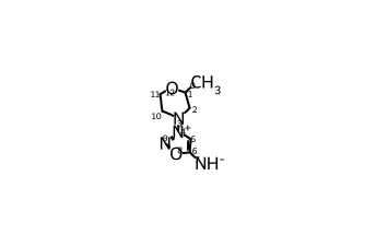 CC1CN([n+]2cc([NH-])on2)CCO1